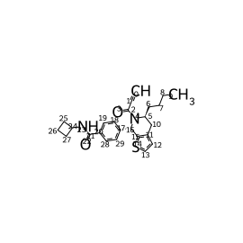 C#CC(=O)N1[C@@H](CCCC)Cc2ccsc2[C@@H]1c1ccc(C(=O)NC2CCC2)cc1